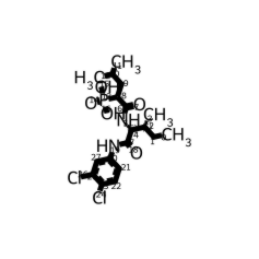 CC[C@H](C)[C@H](NC(=O)C(CC(C)C)P(=O)(O)O)C(=O)Nc1ccc(Cl)c(Cl)c1